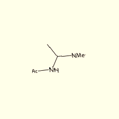 C[N]C(C)NC(C)=O